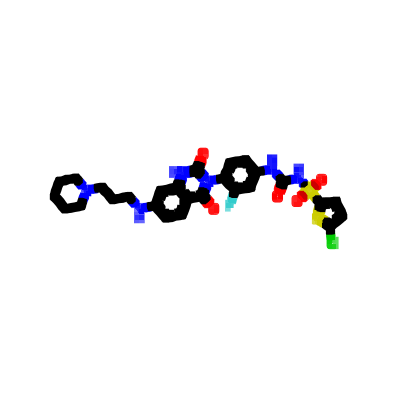 O=C(Nc1ccc(-n2c(=O)[nH]c3cc(NCCCN4CCCCC4)ccc3c2=O)c(F)c1)NS(=O)(=O)c1ccc(Cl)s1